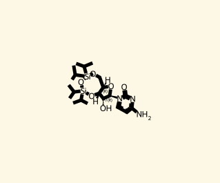 CC(C)[Si]1(C(C)C)OC[C@H]2O[C@@H](n3ccc(N)nc3=O)[C@H](O)[C@@H]2O[Si](C(C)C)(C(C)C)O1